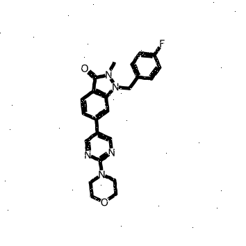 Cn1c(=O)c2ccc(-c3cnc(N4CCOCC4)nc3)cc2n1Cc1ccc(F)cc1